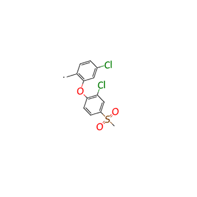 [CH2]c1ccc(Cl)cc1Oc1ccc(S(C)(=O)=O)cc1Cl